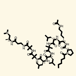 CCCCCC(=O)N1CCC[C@H]1C(=O)N[C@@H](CCCCNC(C)=O)C(=O)N[C@@H](CC(C)C)C(=O)NC(C)(C)C(=O)N[C@@H](CC(C)C)C(=O)N[C@@H](CC(C)C)C(=O)NC(C)(C)C(=O)NC(C)(C)C(=O)NCCC(=O)N[C@@H](C)CN(C)C